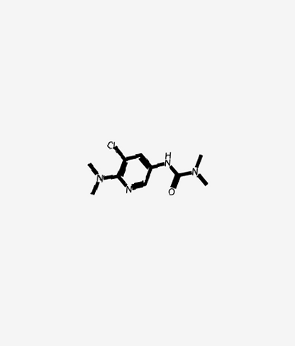 CN(C)C(=O)Nc1cnc(N(C)C)c(Cl)c1